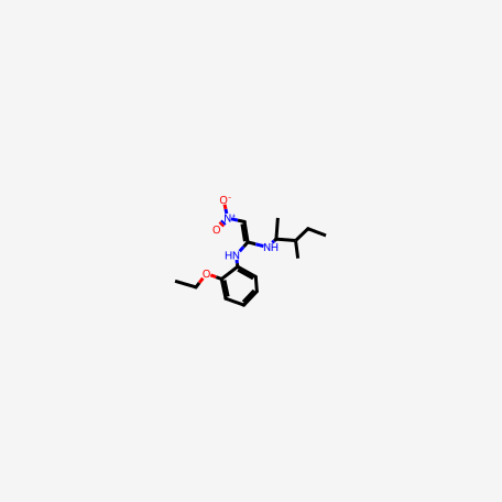 CCOc1ccccc1NC(=C[N+](=O)[O-])NC(C)C(C)CC